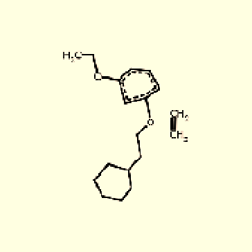 C=C.CCOc1cccc(OCCC2CCCCC2)c1